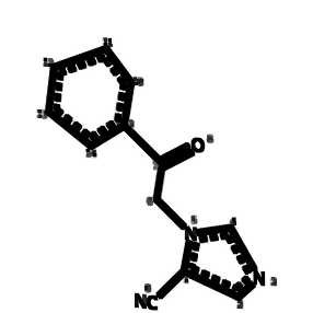 N#Cc1cncn1CC(=O)c1ccccc1